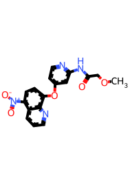 COCC(=O)Nc1cc(Oc2ccc([N+](=O)[O-])c3cccnc23)ccn1